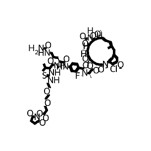 COc1cc2cc(c1Cl)N(C)C(=O)C[C@H](OC(=O)[C@H](C)N(C)C(=O)c1ccc(NC(=O)[C@H](CCCNC(N)=O)NC(=O)[C@@H](NC(=S)NCCOCCOCCC(=O)ON3C(=O)CCC3=O)C(C)C)cc1F)[C@]1(C)O[C@H]1[C@H](C)[C@@H]1C[C@@](O)(NC(=O)O1)[C@H](OC)/C=C/C=C(\C)C2